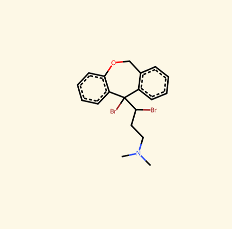 CN(C)CCC(Br)C1(Br)c2ccccc2COc2ccccc21